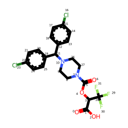 O=C(O)C(OC(=O)N1CCN(C(c2ccc(Cl)cc2)c2ccc(Cl)cc2)CC1)C(F)(F)F